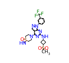 CS(=O)(=O)[C@H]1C[C@@H](Nc2nc(N3CCS(=N)(=O)CC3)c3cnn(-c4cccc(C(F)(F)F)c4)c3n2)C1